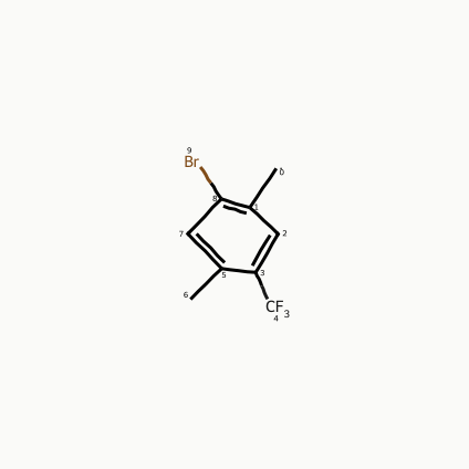 [CH2]c1cc(C(F)(F)F)c(C)cc1Br